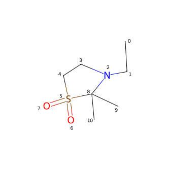 CCN1CCS(=O)(=O)C1(C)C